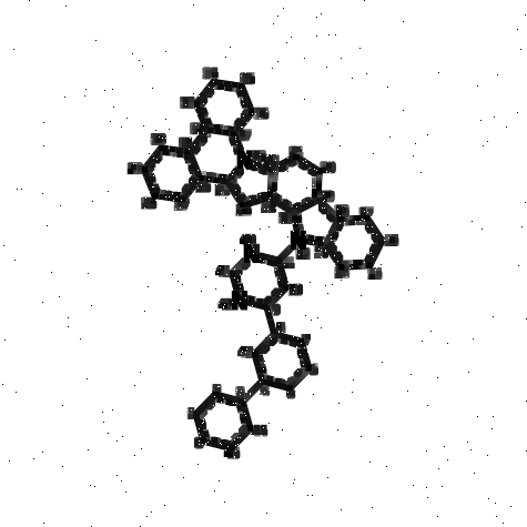 c1ccc(-c2cccc(-c3cc(-n4c5ccccc5c5ccc6c(cc7c8ccccc8c8ccccc8n76)c54)ncn3)c2)cc1